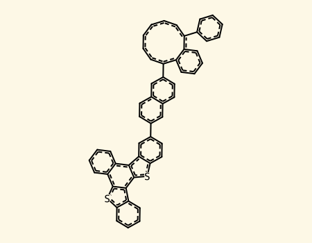 c1ccc(-c2ccccccc(-c3ccc4cc(-c5ccc6sc7c(c6c5)c5ccccc5c5sc6ccccc6c57)ccc4c3)c3ccccc23)cc1